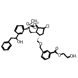 CS(=O)(=O)N(C[C@H]1C(Cl)C(Cl)C[C@@H]1COCc1cccc(C(=O)OCCO)c1)c1cccc(C(O)Cc2ccccc2)c1